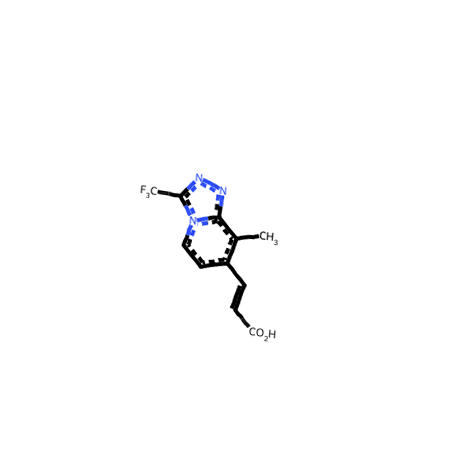 Cc1c(C=CC(=O)O)ccn2c(C(F)(F)F)nnc12